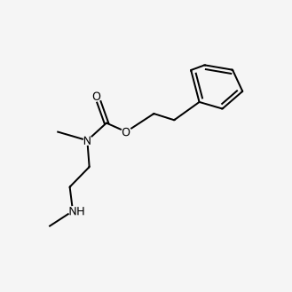 CNCCN(C)C(=O)OCCc1ccccc1